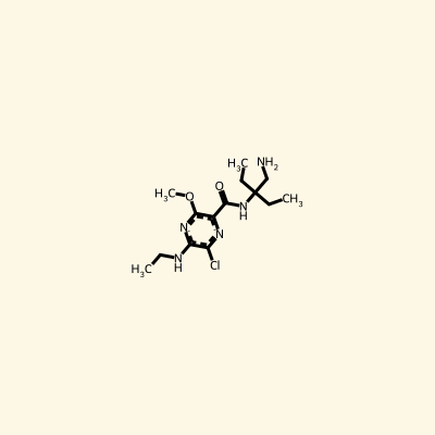 CCNc1nc(OC)c(C(=O)NC(CC)(CC)CN)nc1Cl